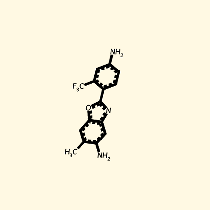 Cc1cc2oc(-c3ccc(N)cc3C(F)(F)F)nc2cc1N